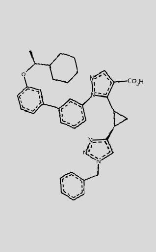 C[C@H](Oc1cccc(-c2cccc(-n3ncc(C(=O)O)c3C3C[C@H]3c3cn(Cc4ccccc4)nn3)c2)c1)C1CCCCC1